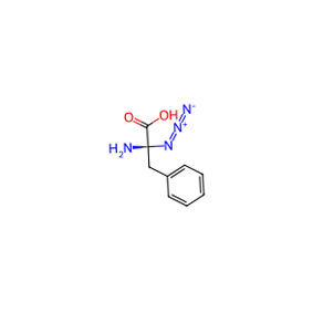 [N-]=[N+]=N[C@](N)(Cc1ccccc1)C(=O)O